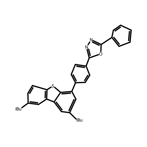 CCC(C)c1ccc2sc3c(-c4ccc(-c5nnc(-c6ccccc6)o5)cc4)cc(C(C)CC)cc3c2c1